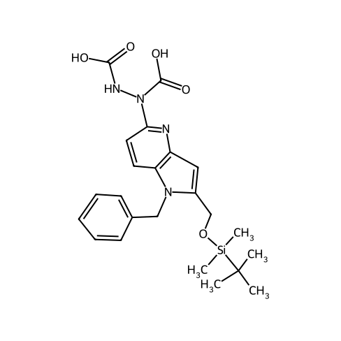 CC(C)(C)[Si](C)(C)OCc1cc2nc(N(NC(=O)O)C(=O)O)ccc2n1Cc1ccccc1